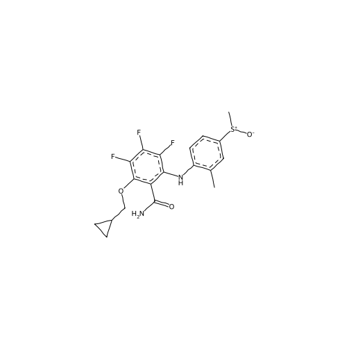 Cc1cc([S+](C)[O-])ccc1Nc1c(F)c(F)c(F)c(OCC2CC2)c1C(N)=O